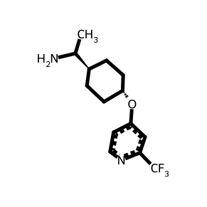 CC(N)[C@H]1CC[C@H](Oc2ccnc(C(F)(F)F)c2)CC1